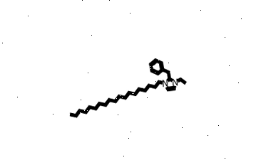 CCCCCCCCCCCCCCCCCCCN1C=CN(CC)C1Cc1ccccc1